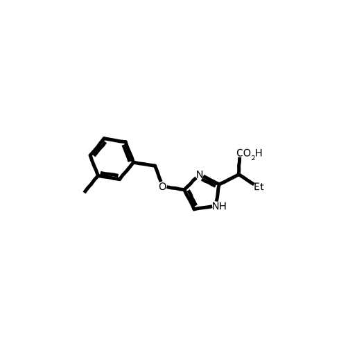 CCC(C(=O)O)c1nc(OCc2cccc(C)c2)c[nH]1